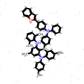 Cc1cc(Nc2c(C)cccc2C)c2c(c1)N(c1ccc(C(C)(C)C)cc1)c1ccc(C(C)(C)C)cc1B2c1ccc(N(c2ccccc2)c2ccc(-c3cc4ccccc4o3)cc2)cc1